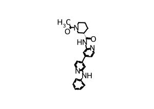 CC(=O)N1CCC[C@H](C(=O)Nc2cc(-c3ccnc(Nc4ccccc4)c3)ccn2)C1